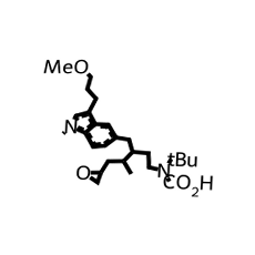 COCCCc1cn(C)c2ccc(CC(CCN(C(=O)O)C(C)(C)C)C(C)CC3CO3)cc12